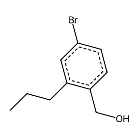 CCCc1cc(Br)ccc1CO